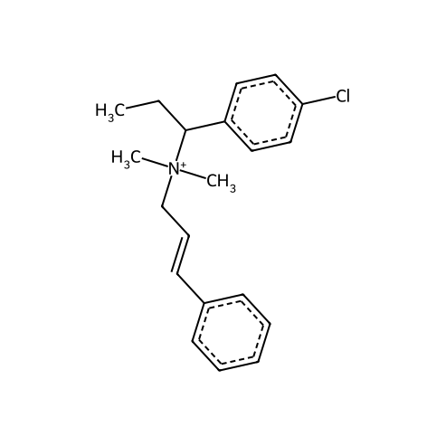 CCC(c1ccc(Cl)cc1)[N+](C)(C)CC=Cc1ccccc1